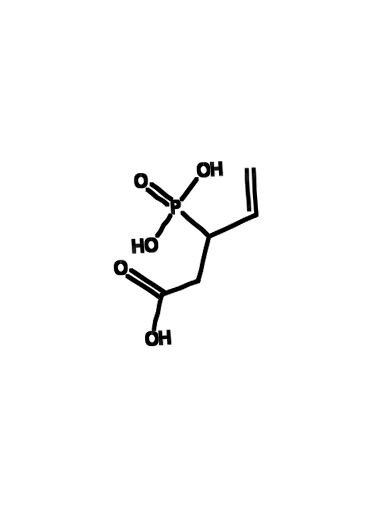 C=CC(CC(=O)O)P(=O)(O)O